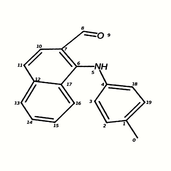 Cc1ccc(Nc2c(C=O)ccc3ccccc23)cc1